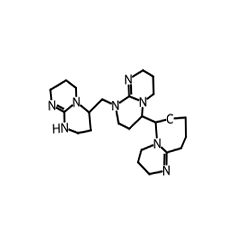 C1CCC(C2CCN(CC3CCNC4=NCCCN43)C3=NCCCN32)N2CCCN=C2C1